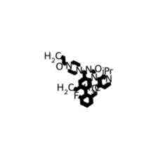 C=CC(=O)N1CCN(c2nc(=O)n(-c3c(C)ccnc3C(C)C)c3c4c(c(C=C)cc23)-c2c(F)cccc2CO4)CC1